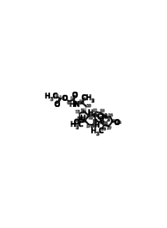 CC(=O)OCC(=O)N[C@@H](C)C[C@H]1CC(=O)[C@@]2(C)CC[C@H]3[C@@H](CCC4=CC(=O)C=C(C)[C@@]43C)[C@H]12